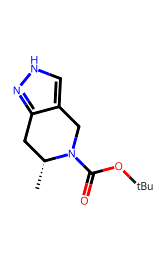 C[C@@H]1Cc2n[nH]cc2CN1C(=O)OC(C)(C)C